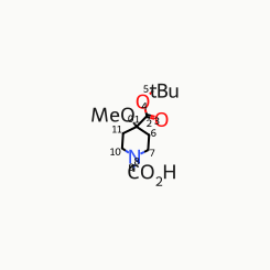 COC1(C(=O)OC(C)(C)C)CCN(C(=O)O)CC1